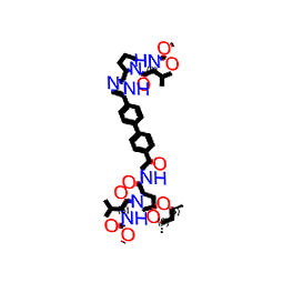 COC(=O)N[C@H](C(=O)N1CC2(CC1C(=O)NCC(=O)c1ccc(-c3ccc(-c4cnc(C5CCCN5C(=O)[C@@H](NC(=O)OC)C(C)C)[nH]4)cc3)cc1)O[C@@H](C)C[C@H](C)O2)C(C)C